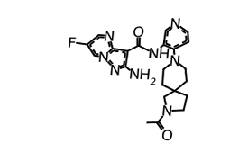 CC(=O)N1CCC2(CCN(c3ccncc3NC(=O)c3c(N)nn4cc(F)cnc34)CC2)C1